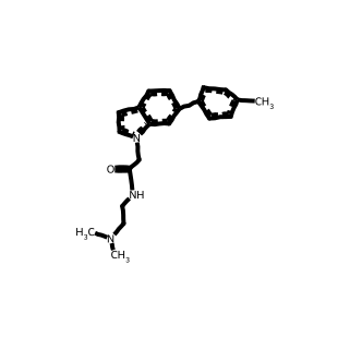 Cc1ccc(-c2ccc3ccn(CC(=O)NCCN(C)C)c3c2)cc1